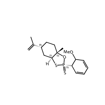 C=C(C)[C@@H]1CC[C@]2(C)O[P@](=S)(C3C=CC=CC3OC)S[C@H]2C1